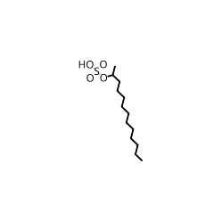 CCCCCCCCCCCC(C)OS(=O)(=O)O